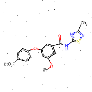 CCOC(=O)c1ccc(Oc2cc(OC(C)C)cc(C(=O)Nc3nc(C)ns3)c2)cc1